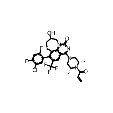 C=CC(=O)N1[C@H](C)CN(c2nc(=O)n3c4c(c(-c5cc(Cl)c(F)cc5F)c(C(F)(F)F)cc24)SCC(O)C3)C[C@@H]1C